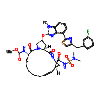 CC(C)n1c(O[C@@H]2C[C@H]3C(=O)N[C@]4(C(=O)NS(=O)(=O)N(C)C)C[C@H]4/C=C\CCCCC[C@H](NC(=O)OC(C)(C)C)C(=O)N3C2)nc2c(-c3nc(Cc4cccc(F)c4)cs3)cccc21